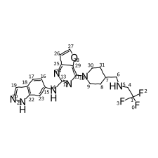 FC(F)(F)CNCC1CCN(c2nc(Nc3ccc4cn[nH]c4c3)nc3ccoc23)CC1